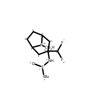 CC(C)(C)[S+]([O-])NC1(C(F)F)CC2CCC(C1)N2C(=O)O